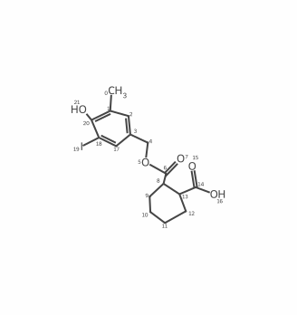 Cc1cc(COC(=O)C2CCCCC2C(=O)O)cc(I)c1O